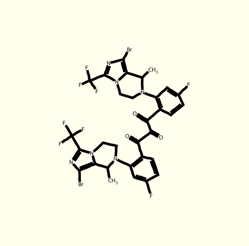 CC1c2c(Br)nc(C(F)(F)F)n2CCN1c1cc(F)ccc1C(=O)C(=O)C(=O)c1ccc(F)cc1N1CCn2c(C(F)(F)F)nc(Br)c2C1C